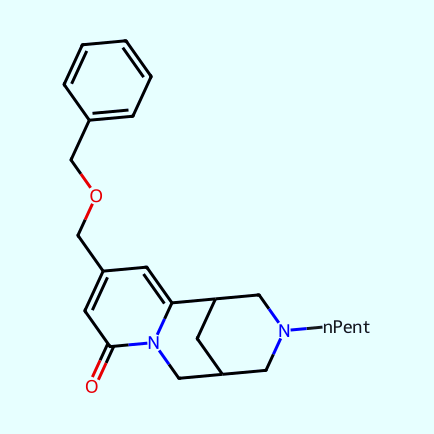 CCCCCN1CC2CC(C1)c1cc(COCc3ccccc3)cc(=O)n1C2